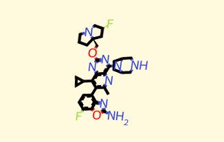 Cc1nc2c(N3C4CCC3CNC4)nc(OC[C@@]34CCCN3C[C@H](F)C4)nc2c(C2CC2)c1-c1ccc(F)c2oc(N)nc12